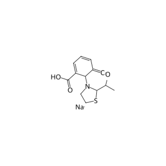 CC(C)C1SCCN1C1C(=C=O)C=CC=C1C(=O)O.[Na]